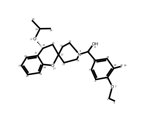 CCOc1ccc(C(O)N2CCC3(CC2)C[C@@H](OC(C)C)c2ccccc2O3)cc1F